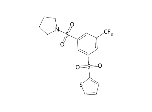 O=S(=O)(c1cc(C(F)(F)F)cc(S(=O)(=O)N2CCCC2)c1)c1cccs1